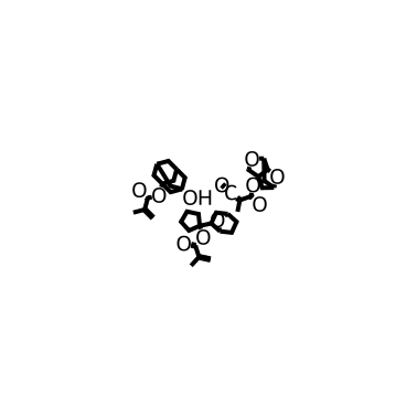 C=C(C)C(=O)OC1(C2CC3CCC2O3)CCCC1.C=C(C)C(=O)OC12CC3CC(CC(O)(C3)C1)C2.CC(=C=O)C(=O)OC1C2CC3COC1C3O2